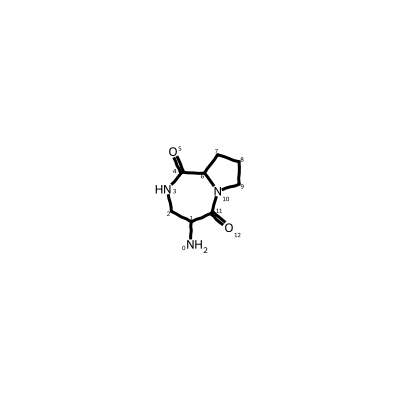 NC1CNC(=O)C2CCCN2C1=O